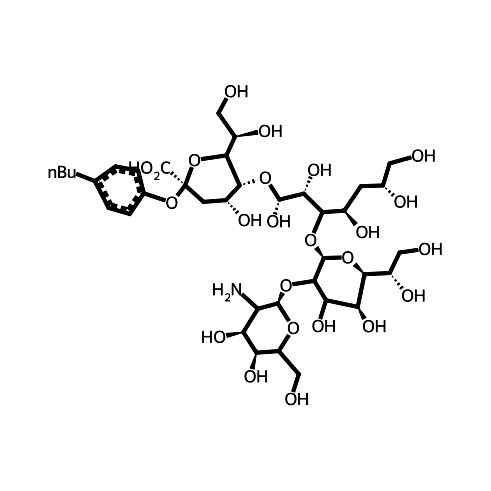 CCCCc1ccc(O[C@]2(C(=O)O)C[C@@H](O)[C@@H](O[C@@H](O)[C@H](O)C(O[C@H]3O[C@@H]([C@@H](O)CO)[C@@H](O)C(O)C3O[C@H]3OC(CO)[C@@H](O)[C@@H](O)C3N)[C@H](O)C[C@@H](O)CO)C([C@H](O)CO)O2)cc1